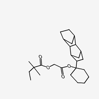 CCC(C)(C)C(=O)OCC(=O)OC1(C2CC3CC2C2C4CCC(C4)C32)CCCCC1